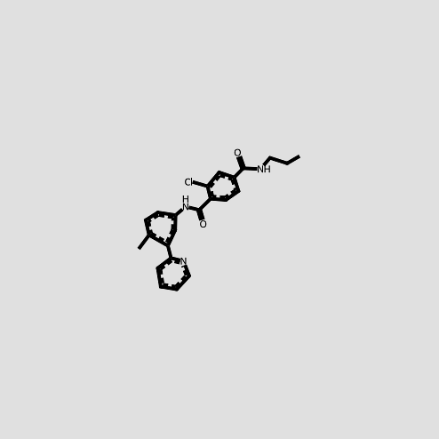 CCCNC(=O)c1ccc(C(=O)Nc2ccc(C)c(-c3ccccn3)c2)c(Cl)c1